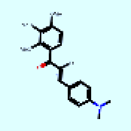 CC/C(=C\c1ccc(N(C)C)cc1)C(=O)c1ccc(OC)c(OC)c1OC